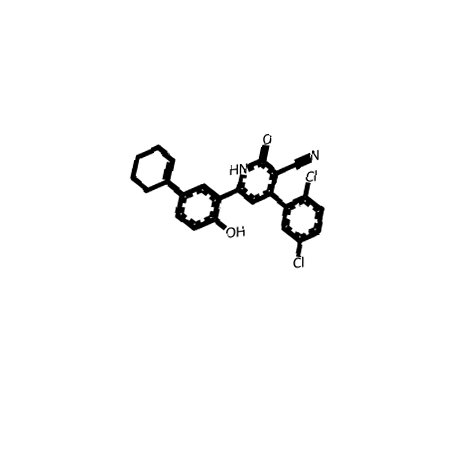 N#Cc1c(-c2cc(Cl)ccc2Cl)cc(-c2cc(C3=CCCCC3)ccc2O)[nH]c1=O